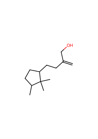 C=C(CO)CCC1CCC(C)C1(C)C